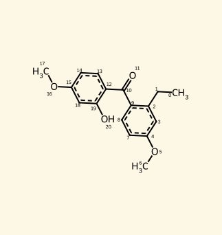 CCc1cc(OC)ccc1C(=O)c1ccc(OC)cc1O